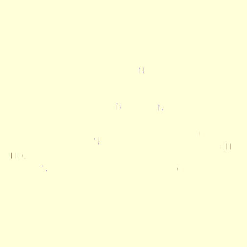 CNC1CN(c2cc([C@@H](C)OC)nc(N)n2)C1